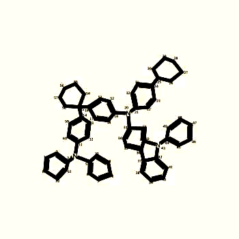 c1ccc(N(c2ccccc2)c2ccc(C3(c4ccc(N(c5ccc(C6CCCCC6)cc5)c5ccc6c7ccccc7n(-c7ccccc7)c6c5)cc4)CCCCC3)cc2)cc1